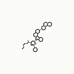 C=C/C=C\C=C(/C)c1cc(-n2c3ccccc3c3c4cc(-c5ccc6c(ccc7ccccc76)c5)ccc4ccc32)nc(-c2ccccc2)n1